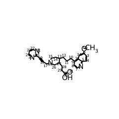 COc1ccc2nccc(CCCC3CCN(CC#Cc4ncccn4)CC3CCC(=O)O)c2c1